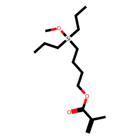 C=C(C)C(=O)OCCCC[Si](CCC)(CCC)OC